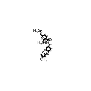 COCc1ccc(C(=O)NCc2ccc(Oc3cc(C)cs3)cc2)c(N)n1